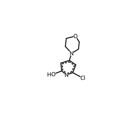 Oc1cc(N2CCOCC2)cc(Cl)n1